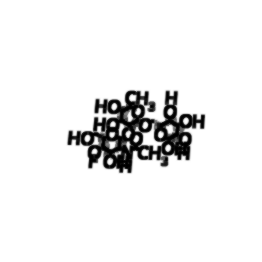 CC(=O)N[C@H]1[C@H](O[C@@H]2[C@@H](OC[C@H]3O[C@@H](O)[C@@H](O)[C@@H](O)[C@@H]3O)O[C@H](C)[C@@H](O)[C@@H]2O)O[C@H](CO)[C@@H](OF)[C@@H]1O